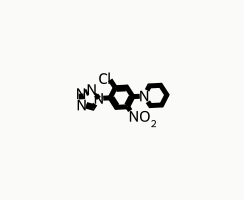 O=[N+]([O-])c1cc(-n2cnnn2)c(Cl)cc1N1CCCCC1